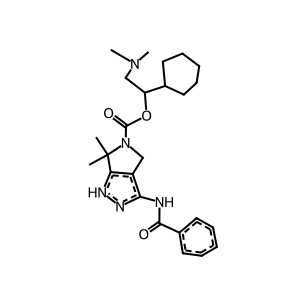 CN(C)CC(OC(=O)N1Cc2c(NC(=O)c3ccccc3)n[nH]c2C1(C)C)C1CCCCC1